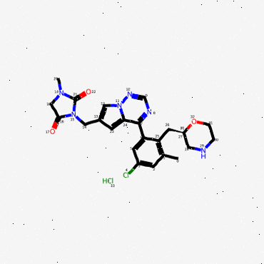 Cc1cc(Cl)cc(-c2ncnn3cc(CN4C(=O)CN(C)C4=O)cc23)c1C[C@@H]1CNCCO1.Cl